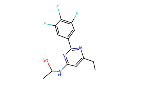 CCc1cc(NC(C)O)nc(-c2cc(F)c(F)c(F)c2)n1